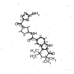 CC1(C)CC(C)(C)c2c([nH]c3ccc(C(=O)NC4CCN(C(=O)c5nnc(N)s5)C4)cc23)C1=O